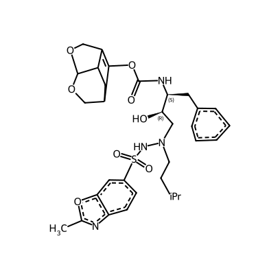 Cc1nc2ccc(S(=O)(=O)NN(CCC(C)C)C[C@@H](O)[C@H](Cc3ccccc3)NC(=O)OC3=C4COC5OCC3CC45)cc2o1